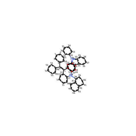 c1ccc(C(=C(c2ccccc2)c2ccccc2N(c2ccc3c(c2)c2ccccc2n3-c2ccccc2)c2cccc3ccccc23)c2ccccc2)cc1